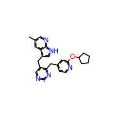 Cc1cnc2[nH]cc(Cc3cn[c]nc3Cc3ccnc(OC4CCCC4)c3)c2c1